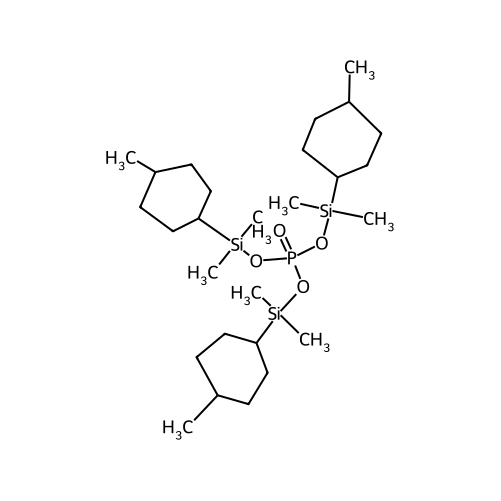 CC1CCC([Si](C)(C)OP(=O)(O[Si](C)(C)C2CCC(C)CC2)O[Si](C)(C)C2CCC(C)CC2)CC1